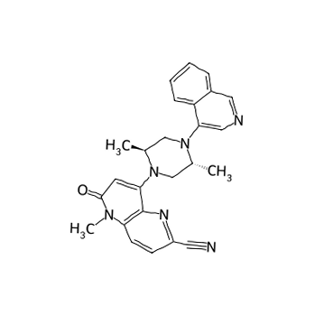 C[C@@H]1CN(c2cc(=O)n(C)c3ccc(C#N)nc23)[C@@H](C)CN1c1cncc2ccccc12